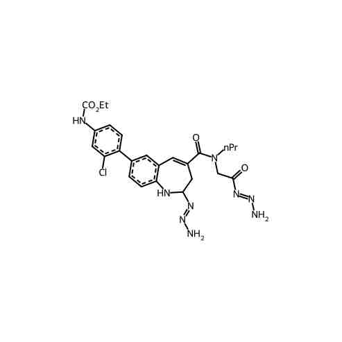 CCCN(CC(=O)N=NN)C(=O)C1=Cc2cc(-c3ccc(NC(=O)OCC)cc3Cl)ccc2NC(N=NN)C1